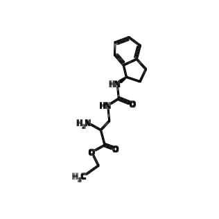 CCOC(=O)C(N)CNC(=O)N[C@@H]1CCc2ccccc21